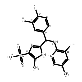 Cc1[nH]c(C(Nc2ncc(C(F)(F)F)cc2F)c2ccc(F)c(Cl)c2)nc1S(C)(=O)=O